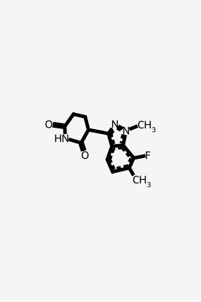 Cc1ccc2c(C3CCC(=O)NC3=O)nn(C)c2c1F